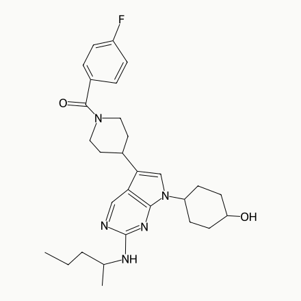 CCCC(C)Nc1ncc2c(C3CCN(C(=O)c4ccc(F)cc4)CC3)cn(C3CCC(O)CC3)c2n1